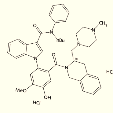 CCCCN(C(=O)c1cn(-c2cc(OC)c(O)cc2C(=O)N2Cc3ccccc3C[C@H]2CN2CCN(C)CC2)c2ccccc12)c1ccccc1.Cl.Cl